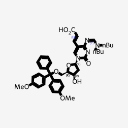 CCCCN(/C=N\c1nc(=O)n([C@H]2C[C@@H](O)[C@@H](COC(c3ccccc3)(c3ccc(OC)cc3)c3ccc(OC)cc3)O2)cc1/C=C/C(=O)O)CCCC